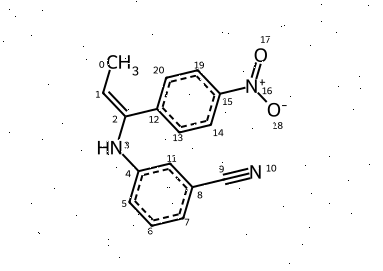 CC=C(Nc1cccc(C#N)c1)c1ccc([N+](=O)[O-])cc1